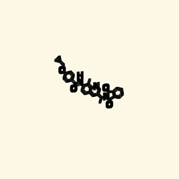 Cc1c(NC(=O)c2ccc(OCC3CC3)cc2)ccc2cc(C(C)N3C(=O)c4ccccc4C3=O)cnc12